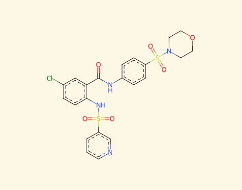 O=C(Nc1ccc(S(=O)(=O)N2CCOCC2)cc1)c1cc(Cl)ccc1NS(=O)(=O)c1cccnc1